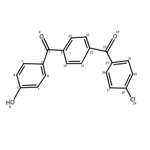 O=C(c1ccc(O)cc1)c1ccc(C(=O)c2ccc(Cl)cc2)cc1